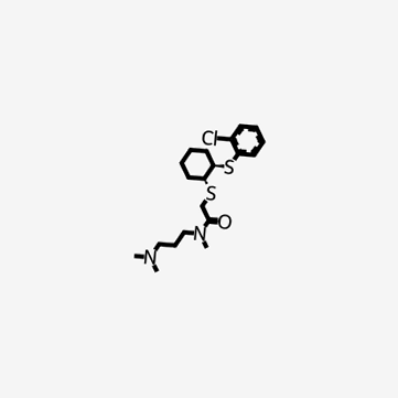 CN(C)CCCN(C)C(=O)CS[C@@H]1CCCC[C@H]1Sc1ccccc1Cl